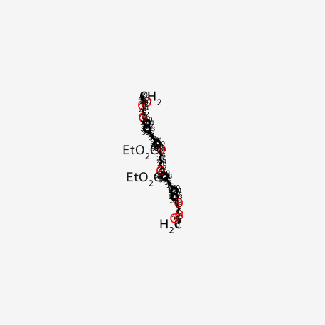 C=CC(=O)OCCCOc1ccc2cc(C#Cc3ccc(OCCCCCCOc4ccc(C#Cc5ccc6cc(OCCCOC(=O)C=C)ccc6c5)cc4C(=O)OCC)c(C(=O)OCC)c3)ccc2c1